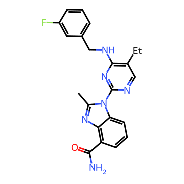 CCc1cnc(-n2c(C)nc3c(C(N)=O)cccc32)nc1NCc1cccc(F)c1